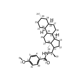 COc1ccc(C(=O)N[C@H](C)C2CCC3[C@@H]4CC[C@@H]5C[C@@H](C)CC[C@@H]5C4CC[C@@]32C)cc1